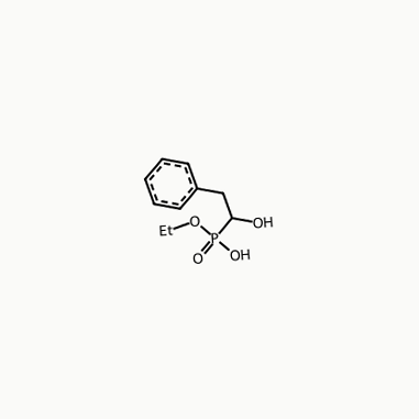 CCOP(=O)(O)C(O)Cc1ccccc1